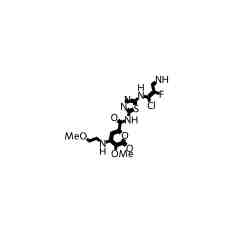 COCCNc1cc(C(=O)Nc2nnc(N/C(Cl)=C(/F)C=N)s2)oc(=O)c1OC